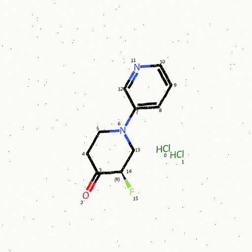 Cl.Cl.O=C1CCN(c2cccnc2)C[C@H]1F